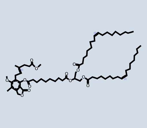 CCCCCCCC/C=C\CCCCCCCC(=O)OCC(COC(=O)CCCCCCC/C=C\CCCCCCCC)OC(=O)CCCCCCCCC(=O)Oc1c(C/C=C(\C)CCC(=O)OC)c(OC)c(C)c2c1C(=O)OC2